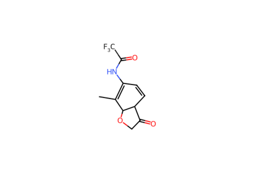 CC1=C(NC(=O)C(F)(F)F)C=CC2C(=O)COC12